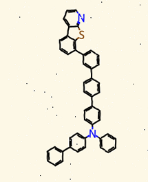 c1ccc(-c2ccc(N(c3ccccc3)c3ccc(-c4ccc(-c5cccc(-c6cccc7c6sc6ncccc67)c5)cc4)cc3)cc2)cc1